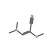 CSC(C#N)=CN(C)C